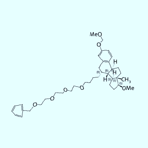 COCOc1ccc2c(c1)C[C@@H](CCCCOCCOCCOCCOCc1ccccc1)[C@@H]1[C@@H]2CC[C@]2(C)[C@@H](OC)CC[C@@H]12